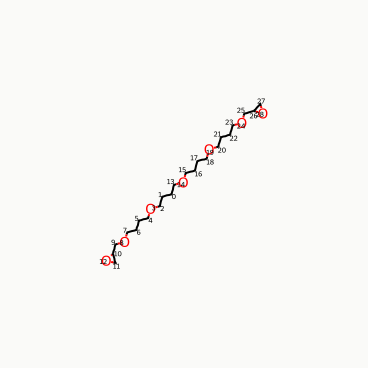 C(CCOCCCCOCC1CO1)COCCCCOCCCCOCC1CO1